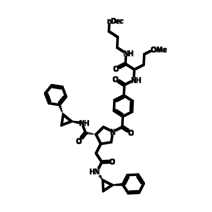 CCCCCCCCCCCCCNC(=O)C(CCOC)NC(=O)c1ccc(C(=O)N2CC(CC(=O)N[C@H]3C[C@@H]3c3ccccc3)[C@H](C(=O)N[C@H]3C[C@@H]3c3ccccc3)C2)cc1